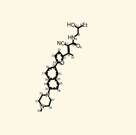 CCC(O)CNC(=O)/C(C#N)=C(\C)c1ccc(-c2ccc3cc(N4CCN(C)CC4)ccc3c2)o1